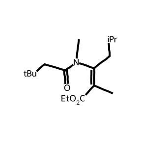 CCOC(=O)C(C)=C(CC(C)C)N(C)C(=O)CC(C)(C)C